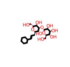 OC[C@H]1O[C@H](O[C@H]2[C@H](O)[C@@H](CO)O[C@H](CC=CC3CCCCC3)[C@H]2O)[C@@H](O)[C@@H](O)[C@@H]1O